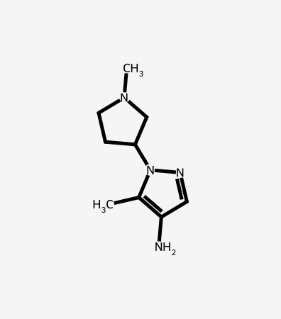 Cc1c(N)cnn1C1CCN(C)C1